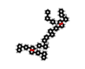 c1ccc(-c2cccc(-c3ccc(N(c4ccc(-c5cccc6oc7c8ccccc8ccc7c56)cc4)c4cc(-c5cccc6c(-c7ccc8ccc9c(oc%10cccc(-c%11cccc(N(c%12ccc(-c%13ccc(-c%14cccc%15ccccc%14%15)cc%13)cc%12)c%12cc(-c%13cccc%14ccccc%13%14)ccc%12-c%12ccccc%12)c%11)c%109)c8c7)cccc56)ccc4-c4ccccc4)cc3)c2)cc1